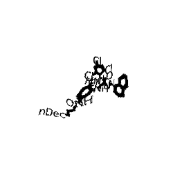 CCCCCCCCCCCCCC(=O)Nc1ccc(Cl)c(Nc2[nH]n(-c3c(Cl)cc(Cl)cc3Cl)c(=O)c2N=Nc2cccc3ccccc23)c1